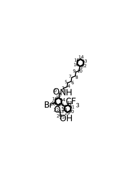 O=C(NCCCCCCCCc1ccccc1)c1cc(Br)c(OCCO)c(-c2ccccc2C(F)(F)F)c1